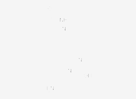 NCCn1c(O)nc2cc(C3=NNC(=O)CC3)ccc21